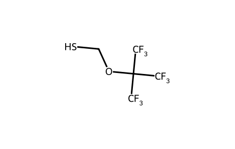 FC(F)(F)C(OCS)(C(F)(F)F)C(F)(F)F